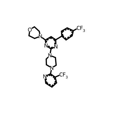 FC(F)(F)c1ccc(-c2cc(N3CCOCC3)nc(N3CCN(c4ncccc4C(F)(F)F)CC3)n2)cc1